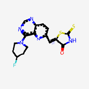 O=C1NC(=S)S/C1=C\c1ccc2ncnc(N3CCC(F)CC3)c2n1